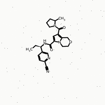 CC[C@@H](NC(=O)c1cc(C(=O)N2CCCC2C)c2n1CCOC2)c1ccc(C#N)nc1